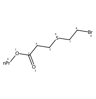 CCCOC(=O)CCSCCBr